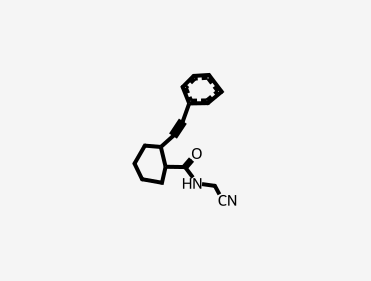 N#CCNC(=O)C1CCCCC1C#Cc1ccccc1